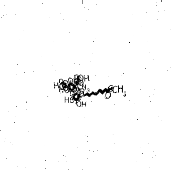 COC(=O)CCCCCCCCO[C@@H]1O[C@H](CO)[C@@H](O)[C@H](O[C@@H]2O[C@H](COS(=O)(=O)O)[C@H](O)[C@H](OS(=O)(=O)O)[C@H]2O)[C@H]1NC(C)=O